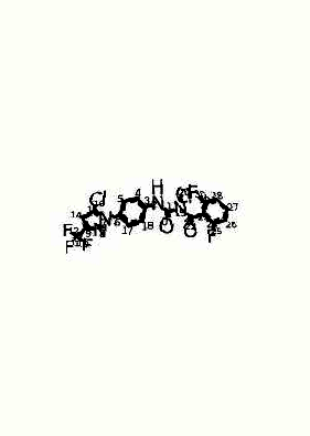 O=C(Nc1ccc(-n2nc(C(F)(F)F)cc2Cl)cc1)N(Cl)C(=O)c1c(F)cccc1F